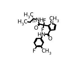 CC[C@H](C)NC(=O)C(F)(F)c1c(C(=O)Nc2ccc(F)c(C)c2)ccn1C